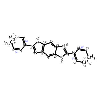 C/C=C\C(=C/C)c1nc2cc3sc(C(/C=C\C)=C/C)nc3cc2s1